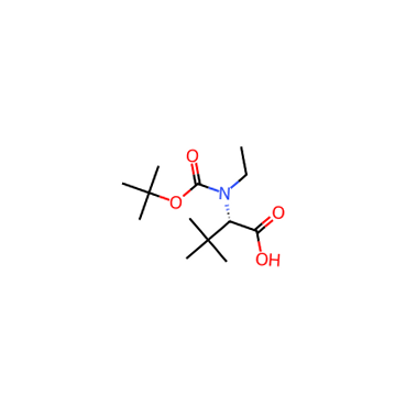 CCN(C(=O)OC(C)(C)C)[C@H](C(=O)O)C(C)(C)C